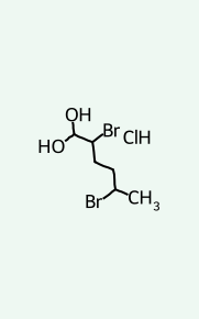 CC(Br)CCC(Br)C(O)O.Cl